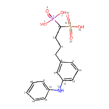 O=P(O)(O)C(CCCc1cccc(Nc2ccccc2)c1)S(=O)(=O)O